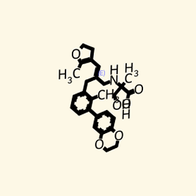 CC1=C(/C=C(/CNC(C)(CO)C(=O)O)Cc2cccc(-c3ccc4c(c3)OCCO4)c2C)CCO1